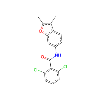 Cc1oc2cc(NC(=O)c3c(Cl)cccc3Cl)ccc2c1C